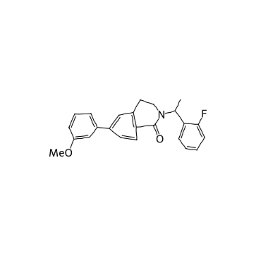 COc1cccc(-c2ccc3c(c2)CCN(C(C)c2ccccc2F)C3=O)c1